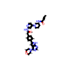 CC#CC(=O)N[C@@H]1CCCN(c2ccnc(NC(=O)Cc3ccc(-c4cc5c(N6CCOCC6)ncnc5[nH]4)cc3)c2)C1